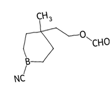 CC1(CCOC=O)CCB(C#N)CC1